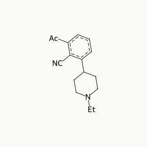 CCN1CCC(c2cccc(C(C)=O)c2C#N)CC1